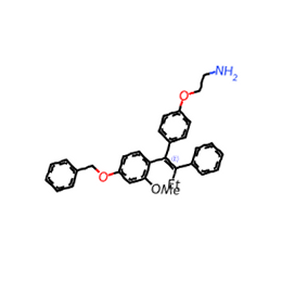 CC/C(=C(/c1ccc(OCCN)cc1)c1ccc(OCc2ccccc2)cc1OC)c1ccccc1